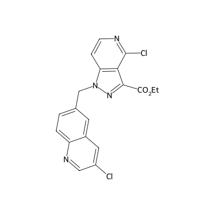 CCOC(=O)c1nn(Cc2ccc3ncc(Cl)cc3c2)c2ccnc(Cl)c12